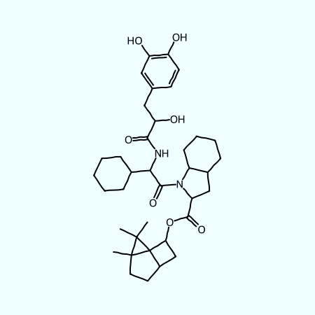 CC1(C)C2(C)CCC3CC(OC(=O)C4CC5CCCCC5N4C(=O)C(NC(=O)C(O)Cc4ccc(O)c(O)c4)C4CCCCC4)C312